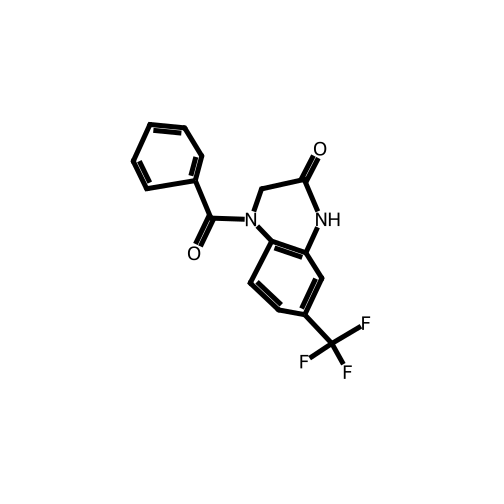 O=C1CN(C(=O)c2ccccc2)c2ccc(C(F)(F)F)cc2N1